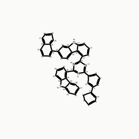 C1=CCCC(c2cccc(-c3nc(-c4cccc5oc6cc(-c7cccc8ccccc78)ccc6c45)nc(-c4cccc5sc6ccccc6c45)n3)c2)=C1